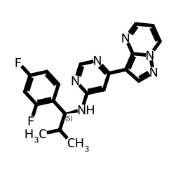 CC(C)[C@H](Nc1cc(-c2cnn3cccnc23)ncn1)c1ccc(F)cc1F